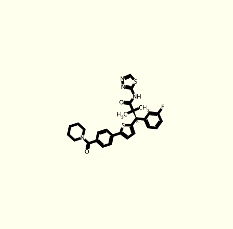 CC(C)(C(=O)Nc1nncs1)[C@@H](c1cccc(F)c1)c1ccc(-c2ccc(C(=O)N3CCCCC3)cc2)s1